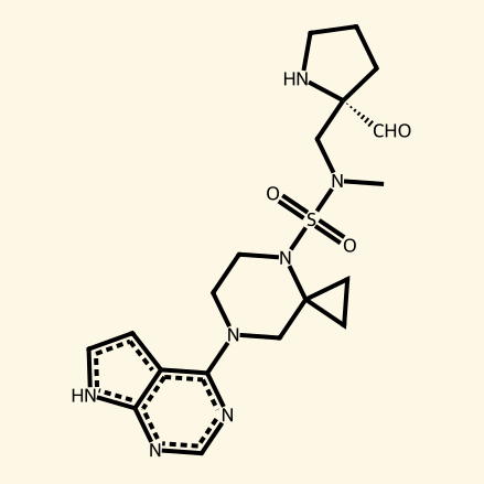 CN(C[C@]1(C=O)CCCN1)S(=O)(=O)N1CCN(c2ncnc3[nH]ccc23)CC12CC2